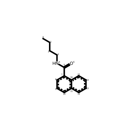 CCCCNC(=O)c1cccc2ccccc12